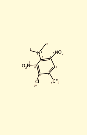 CN(C)c1c([N+](=O)[O-])cc(C(F)(F)F)c(Cl)c1[N+](=O)[O-]